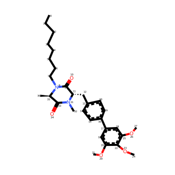 CCCCCCCCN1C(=O)[C@H](Cc2ccc(-c3cc(OC)c(OC)c(OC)c3)cc2)N(C)C(=O)[C@H]1C